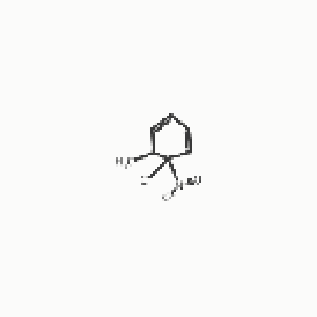 CC1C=CC=CC1(Cl)[N+](=O)[O-]